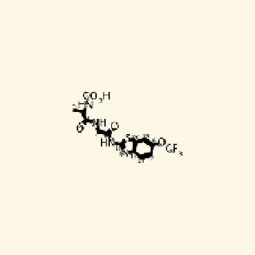 CC(NC(=O)O)C(=O)NCC(=O)Nc1nc2ccc(OC(F)(F)F)cc2s1